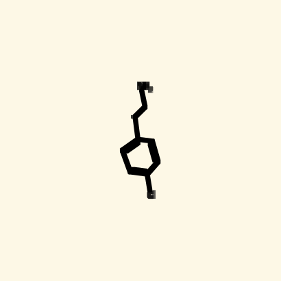 NC[CH]c1ccc(Cl)cc1